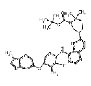 Cc1c(Oc2ccc3c(c2)ncn3C)ccc(Nc2ncnc3ccc(C4CCC(C)(C)N(C(=O)OC(C)(C)C)C4)nc23)c1F